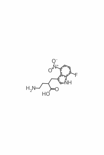 NCCC(Cc1c[nH]c2c(F)ccc([N+](=O)[O-])c12)C(=O)O